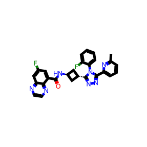 Cc1cccc(-c2nnc([C@H]3C[C@H](NC(=O)c4cc(F)cc5nccnc45)C3)n2-c2ccccc2F)n1